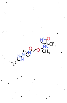 CC(COCCC(=O)N1CCC2C1CCN2c1ncc(C(F)(F)F)cn1)n1nc(C(F)(F)F)c2c(=O)[nH]ncc21